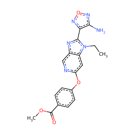 CCn1c(-c2nonc2N)nc2cnc(Oc3ccc(C(=O)OC)cc3)cc21